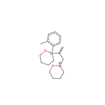 C=C(C[SiH]1CCCCO1)[Si]1(c2ccccc2C)CCCCO1